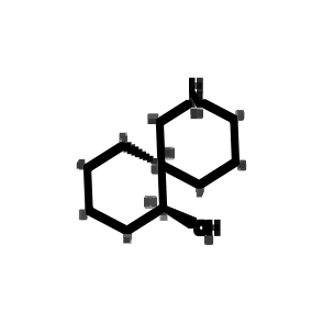 O[C@H]1CCCC[C@]12CCCNC2